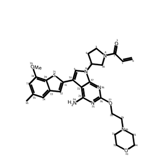 C=CC(=O)N1CCC(n2cc(-c3cc4cc(C)cc(OC)c4s3)c3c(N)nc(OCCN4CCOCC4)nc32)C1